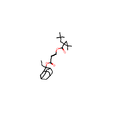 CCC1(OC(=O)CCOC(=O)C2(CC(C)(C)C)CC2(C)C)C2CC3CC(C2)CC1C3